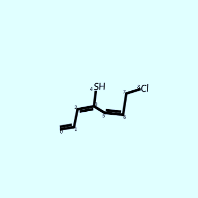 C=C/C=C(S)\C=C/CCl